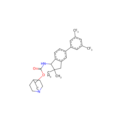 CC1(C)Cc2cc(-c3cc(C(F)(F)F)cc(C(F)(F)F)c3)ccc2C1NC(=O)OC1CN2CCC1CC2